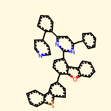 c1ccc(-c2cc(-c3ccccc3-c3ccncc3)nc(-c3ccc(-c4ccc5sc6ccccc6c5c4)c4oc5ccccc5c34)n2)cc1